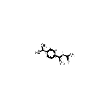 CC(=O)OC(C)c1ccc(C(C)O)cc1